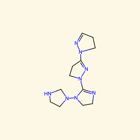 C1=NN(C2=NN(C3=NCCN3N3CCNC3)CC2)CC1